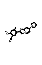 COc1cc(C)c(-c2cn3ccc(N4CCCC4)cc3n2)cc1C#N